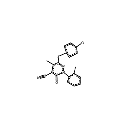 Cc1ccccc1-n1nc(Sc2ccc(Cl)cc2)c(C)c(C#N)c1=O